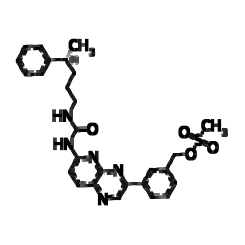 C[C@H](CCCNC(=O)Nc1ccc2ncc(-c3cccc(COS(C)(=O)=O)c3)nc2n1)c1ccccc1